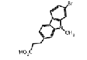 Cn1c2cc(Br)ccc2c2ccc(CCC(=O)O)cc21